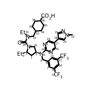 CC[C@@H]1C[C@H](N(Cc2cc(C(F)(F)F)cc(C(F)(F)F)c2)c2ncc(-c3cnn(C)c3)cn2)CN1C(=O)N(CC)CC1CCC(C(=O)O)CC1